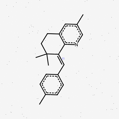 Cc1ccc(/C=C2/c3ncc(C)cc3CCC2(C)C)cc1